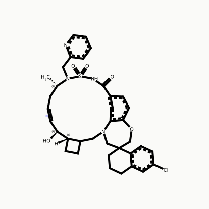 C[C@H]1C/C=C\[C@H](O)[C@H]2CCC2CN2CC3(CCCc4cc(Cl)ccc43)COc3ccc(cc32)C(=O)NS(=O)(=O)N1Cc1ccccn1